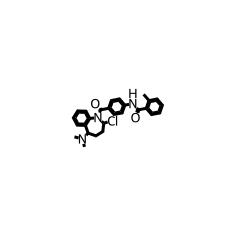 Cc1ccccc1C(=O)Nc1ccc(C(=O)N2c3ccccc3C(N(C)C)CCC2Cl)cc1